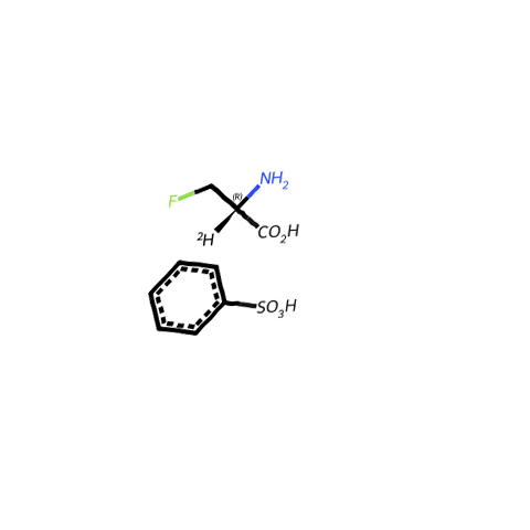 O=S(=O)(O)c1ccccc1.[2H][C@](N)(CF)C(=O)O